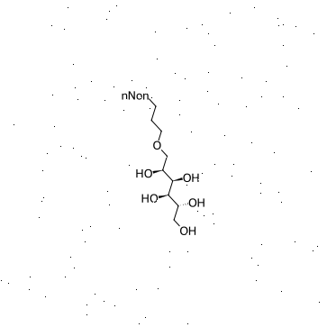 CCCCCCCCCCCCOC[C@H](O)[C@@H](O)[C@H](O)[C@H](O)CO